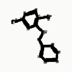 Clc1ccc(Br)c(OCc2ccccc2)c1